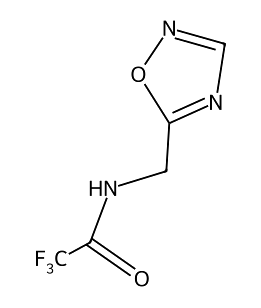 O=C(NCc1ncno1)C(F)(F)F